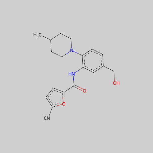 [C-]#[N+]c1ccc(C(=O)Nc2cc(CO)ccc2N2CCC(C)CC2)o1